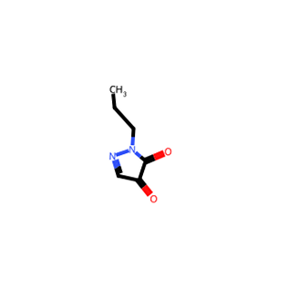 CCCN1N=CC(=O)C1=O